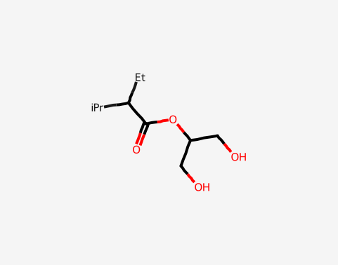 CCC(C(=O)OC(CO)CO)C(C)C